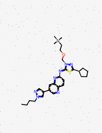 CCCCn1cc(-c2cnc3ccc(/N=c4\sc(C5CCCC5)nn4COCC[Si](C)(C)C)nc3c2)cn1